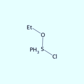 CCOSCl.P